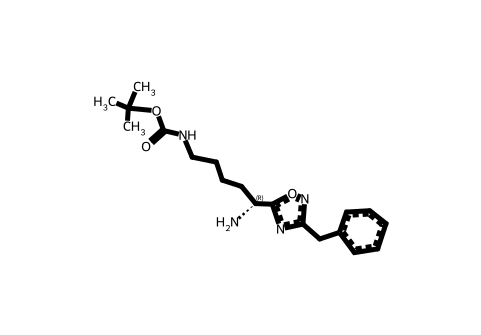 CC(C)(C)OC(=O)NCCCC[C@@H](N)c1nc(Cc2ccccc2)no1